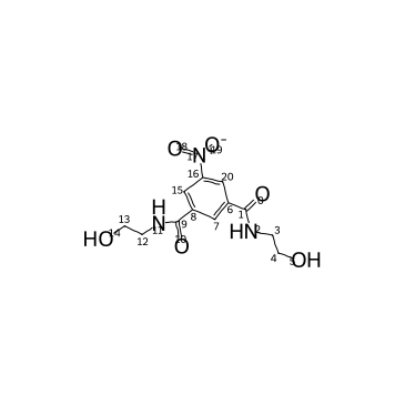 O=C(NCCO)c1cc(C(=O)NCCO)cc([N+](=O)[O-])c1